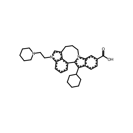 O=C(O)c1ccc2c(C3CCCCC3)c3n(c2c1)CCCc1cn(CCN2CCCCC2)c2cccc-3c12